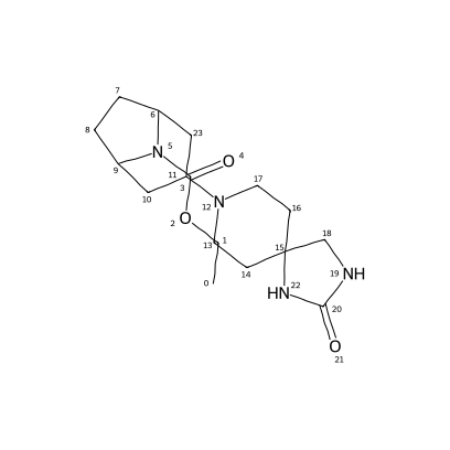 CCOC(=O)N1C2CCC1CC(N1CCC3(CC1)CNC(=O)N3)C2